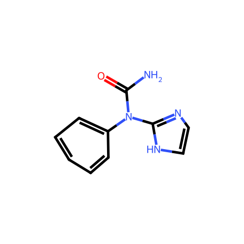 NC(=O)N(c1ccccc1)c1ncc[nH]1